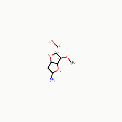 CCCCO[C@H]1C2OC(N)CC2O[C@@H]1CO